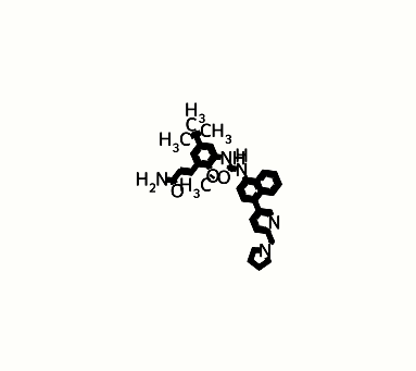 COc1c(C=CC(N)=O)cc(C(C)(C)C)cc1NC(=O)Nc1ccc(-c2ccc(CN3CCCC3)nc2)c2ccccc12